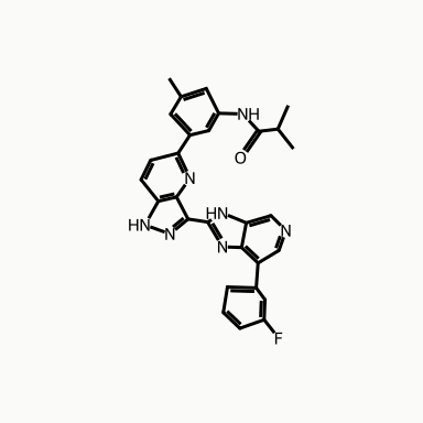 Cc1cc(NC(=O)C(C)C)cc(-c2ccc3[nH]nc(-c4nc5c(-c6cccc(F)c6)cncc5[nH]4)c3n2)c1